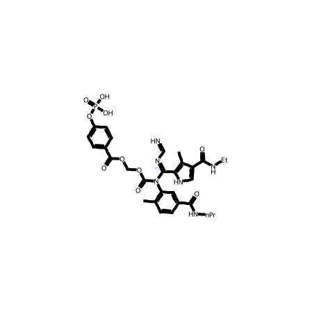 CCCNC(=O)c1ccc(C)c(N(C(=O)OCOC(=O)c2ccc(OP(=O)(O)O)cc2)/C(=N/C=N)c2[nH]cc(C(=O)NCC)c2C)c1